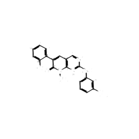 [CH2]c1cccc(Nc2ncc3cc(-c4ccccc4Cl)c(=O)n(C)c3n2)c1